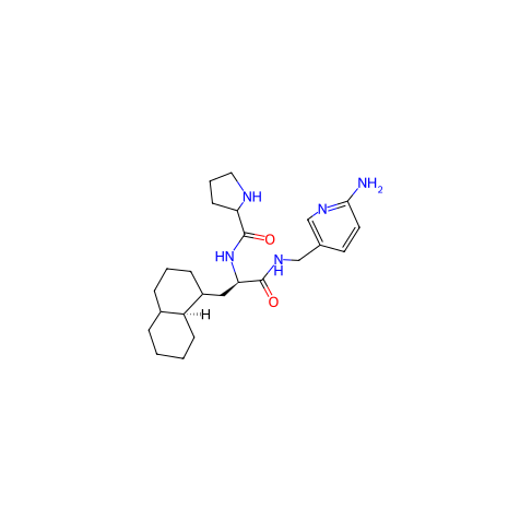 Nc1ccc(CNC(=O)[C@@H](CC2CCCC3CCCC[C@@H]32)NC(=O)C2CCCN2)cn1